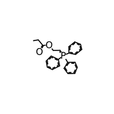 CCC(=O)OCC=P(c1ccccc1)(c1ccccc1)c1ccccc1